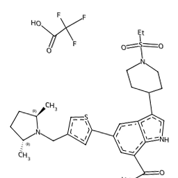 CCS(=O)(=O)N1CCC(c2c[nH]c3c(C(N)=O)cc(-c4cc(CN5[C@H](C)CC[C@H]5C)cs4)cc23)CC1.O=C(O)C(F)(F)F